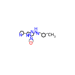 CCc1cccc(/C=N/Nc2cc(N3CCOCC3)n3nc(-c4cccnc4)cc3n2)c1